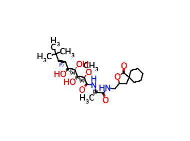 CO[C@@H](C(=O)N[C@@H](C)C(=O)NCC1CC2(CCCCC2)C(=O)O1)[C@H](O)[C@@H](O)[C@H](O)/C=C/C(C)(C)C